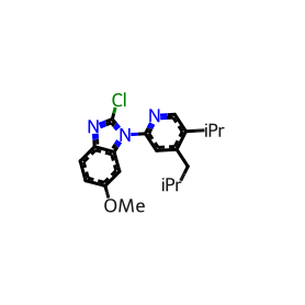 COc1ccc2nc(Cl)n(-c3cc(CC(C)C)c(C(C)C)cn3)c2c1